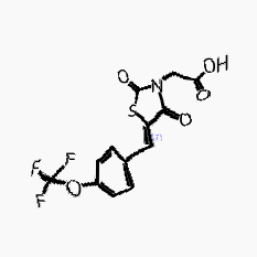 O=C(O)CN1C(=O)S/C(=C\c2ccc(OC(F)(F)F)cc2)C1=O